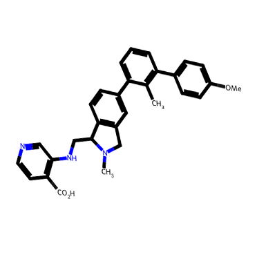 COc1ccc(-c2cccc(-c3ccc4c(c3)CN(C)C4CNc3cnccc3C(=O)O)c2C)cc1